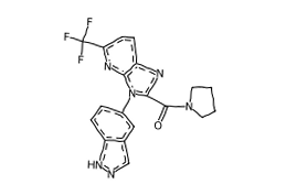 O=C(c1nc2ccc(C(F)(F)F)nc2n1-c1ccc2[nH]ncc2c1)N1CCCC1